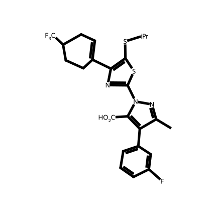 Cc1nn(-c2nc(C3=CCC(C(F)(F)F)CC3)c(SC(C)C)s2)c(C(=O)O)c1-c1cccc(F)c1